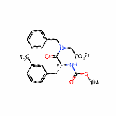 CCOC(=O)CN(Cc1ccccc1)C(=O)[C@@H](Cc1cccc(C(F)(F)F)c1)NC(=O)OC(C)(C)C